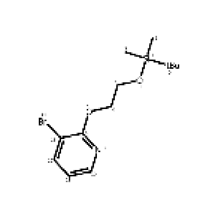 CC(C)(C)[Si](C)(C)OCCOc1ncccc1Br